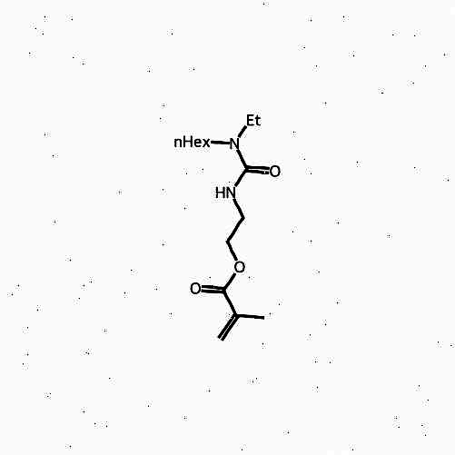 C=C(C)C(=O)OCCNC(=O)N(CC)CCCCCC